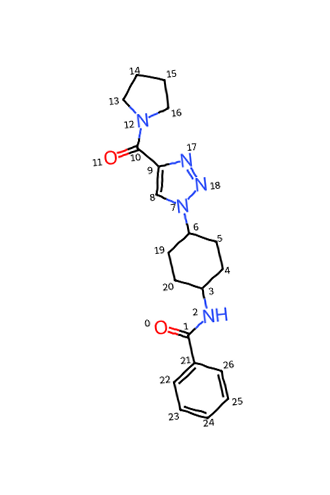 O=C(NC1CCC(n2cc(C(=O)N3CCCC3)nn2)CC1)c1ccccc1